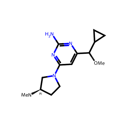 CN[C@@H]1CCN(c2cc(C(OC)C3CC3)nc(N)n2)C1